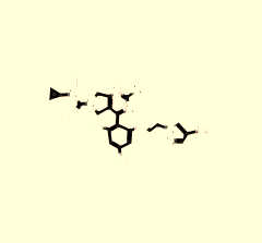 Nc1nc2c(c(-c3c(Cl)cc(Cl)cc3OCCn3cc(Br)cn3)n1)CN(C(=O)NC1CC1)C2